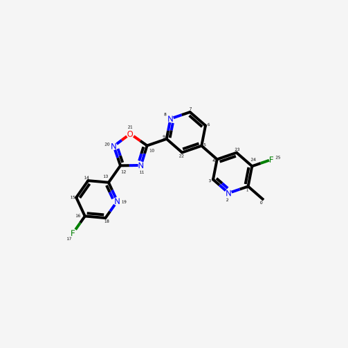 Cc1ncc(-c2ccnc(-c3nc(-c4ccc(F)cn4)no3)c2)cc1F